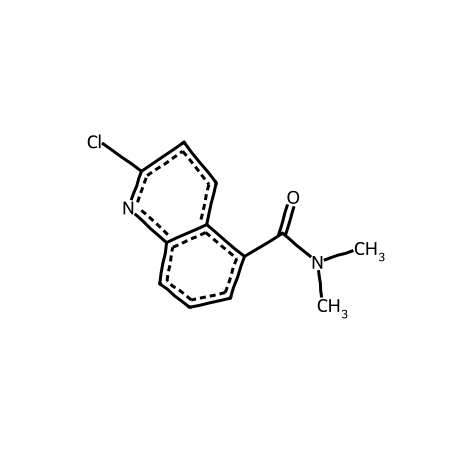 CN(C)C(=O)c1cccc2nc(Cl)ccc12